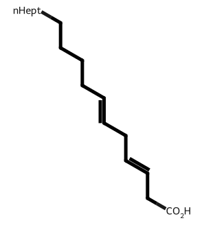 CCCCCCCCCCCC=CCC=CCC(=O)O